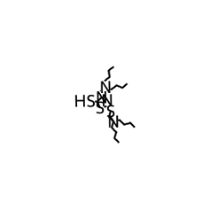 CCCCN(CCCC)CSC1=NN(CN(CCCC)CCCC)C(S)S1